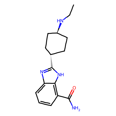 CCN[C@H]1CC[C@H](c2nc3cccc(C(N)=O)c3[nH]2)CC1